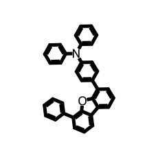 c1ccc(-c2cccc3c2oc2c(-c4ccc(N(c5ccccc5)c5ccccc5)cc4)cccc23)cc1